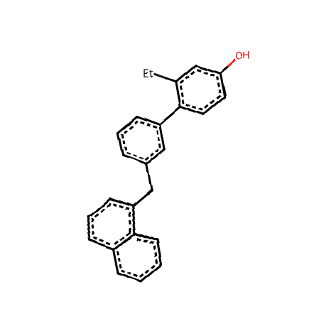 CCc1cc(O)ccc1-c1cccc(Cc2cccc3ccccc23)c1